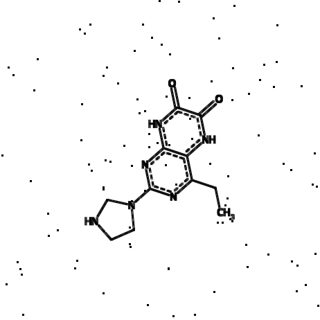 CCc1nc(N2CCNC2)nc2[nH]c(=O)c(=O)[nH]c12